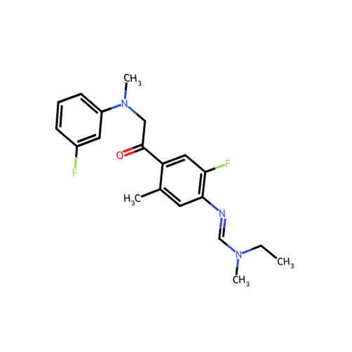 CCN(C)C=Nc1cc(C)c(C(=O)CN(C)c2cccc(F)c2)cc1F